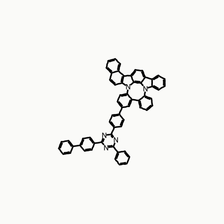 c1ccc(-c2ccc(-c3nc(-c4ccccc4)nc(-c4ccc(-c5ccc6c(c5)c5ccccc5n5c7ccccc7c7ccc8c9c%10ccccc%10ccc9n6c8c75)cc4)n3)cc2)cc1